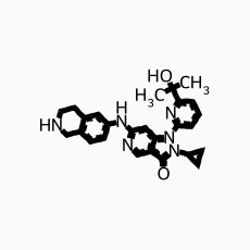 CC(C)(O)c1cccc(-n2c3cc(Nc4ccc5c(c4)CCNC5)ncc3c(=O)n2C2CC2)n1